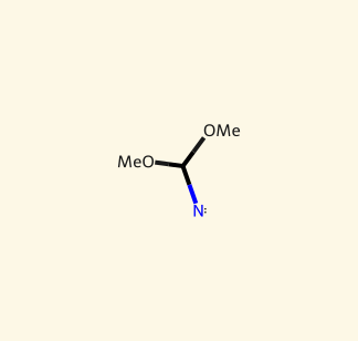 COC([N])OC